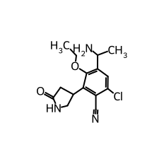 CCOc1c(C(C)N)cc(Cl)c(C#N)c1C1CNC(=O)C1